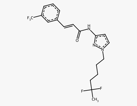 CC(F)(F)CCCCn1ccc(NC(=O)/C=C/c2cccc(C(F)(F)F)c2)n1